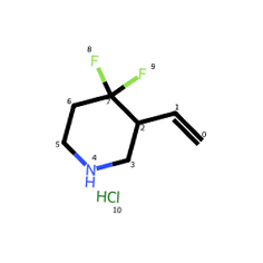 C=CC1CNCCC1(F)F.Cl